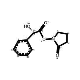 O=C(ON1CCCC1=O)[C@@H](O)c1ccccc1